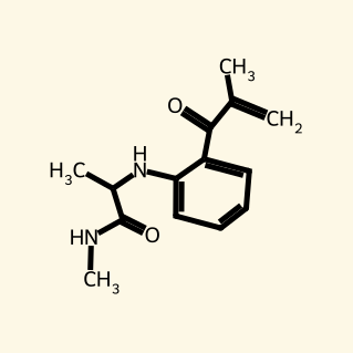 C=C(C)C(=O)c1ccccc1NC(C)C(=O)NC